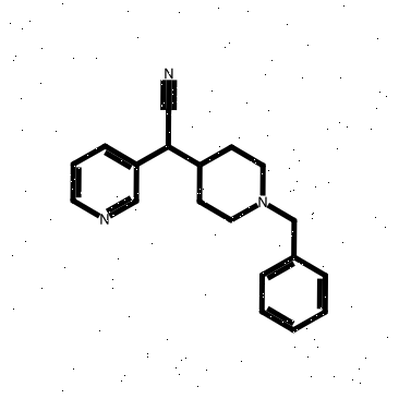 N#CC(c1cccnc1)C1CCN(Cc2ccccc2)CC1